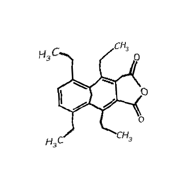 CCc1ccc(CC)c2c(CC)c3c(c(CC)c12)C(=O)OC3=O